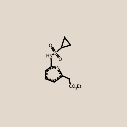 CCOC(=O)Cc1cccc(NS(=O)(=O)C2CC2)n1